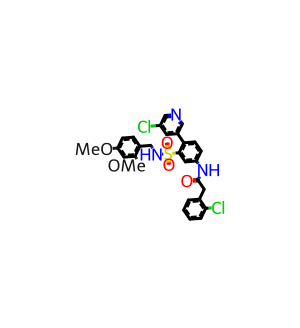 COc1ccc(CNS(=O)(=O)c2cc(NC(=O)Cc3ccccc3Cl)ccc2-c2cncc(Cl)c2)c(OC)c1